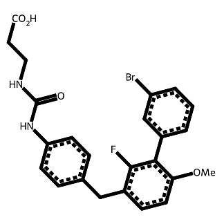 COc1ccc(Cc2ccc(NC(=O)NCCC(=O)O)cc2)c(F)c1-c1cccc(Br)c1